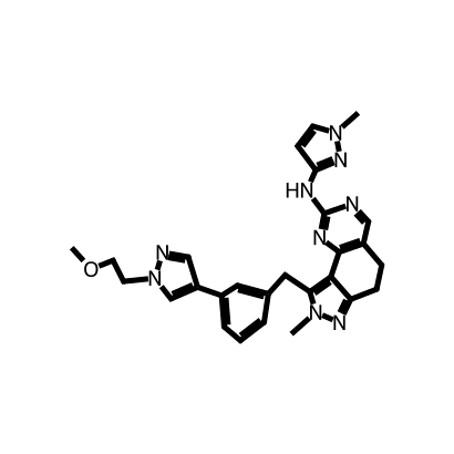 COCCn1cc(-c2cccc(Cc3c4c(nn3C)CCc3cnc(Nc5ccn(C)n5)nc3-4)c2)cn1